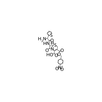 NC(C(=O)NC1C(=O)N2C(C(=O)O)=C(C(=O)OCc3ccc([N+](=O)[O-])cc3)CS[C@@H]12)c1cccs1